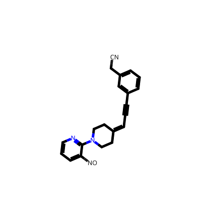 N#CCc1cccc(C#CC=C2CCN(c3ncccc3N=O)CC2)c1